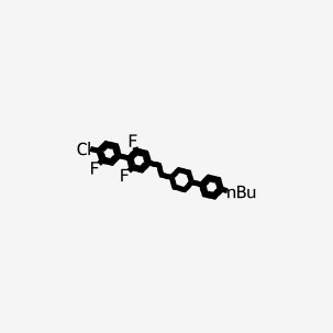 CCCCc1ccc(C2CCC(CCc3cc(F)c(-c4ccc(Cl)c(F)c4)c(F)c3)CC2)cc1